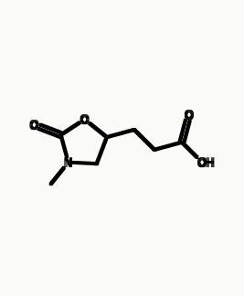 CN1CC(CCC(=O)O)OC1=O